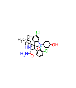 CC(C)(C)C[C@@H]1N[C@@H](C(N)=O)[C@H](c2cccc(Cl)c2F)[C@]12C(=O)N(C1CCC(O)CC1)c1cc(Cl)ccc12